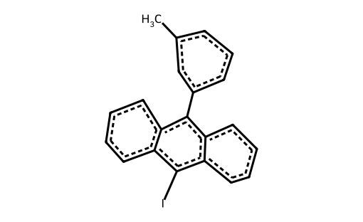 Cc1cccc(-c2c3ccccc3c(I)c3ccccc23)c1